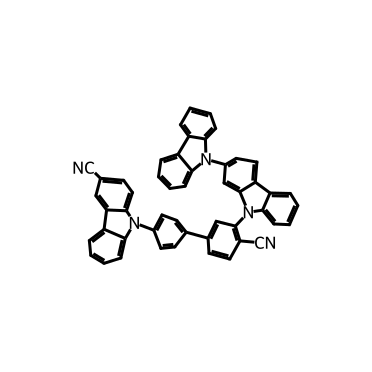 N#Cc1ccc2c(c1)c1ccccc1n2-c1ccc(-c2ccc(C#N)c(-n3c4ccccc4c4ccc(-n5c6ccccc6c6ccccc65)cc43)c2)cc1